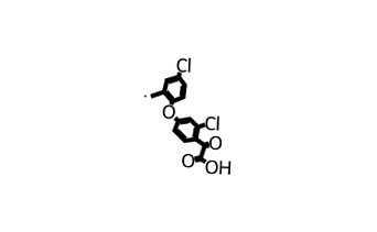 [CH2]c1cc(Cl)ccc1Oc1ccc(C(=O)C(=O)O)c(Cl)c1